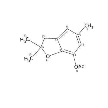 CC(=O)Oc1cc(C)cc2c1OC(C)(C)C2